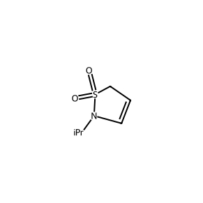 CC(C)N1C=CCS1(=O)=O